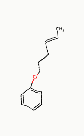 C/C=C/CCCOc1c[c]ccc1